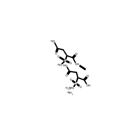 C=C.N.N.O=C(O)CC(C(=O)O)S(=O)(=O)O.O=C(O)CC(C(=O)O)S(=O)(=O)O